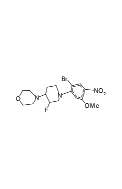 COc1cc(N2CCC(N3CCOCC3)C(F)C2)c(Br)cc1[N+](=O)[O-]